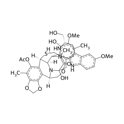 COc1ccc2[nH]c3c(c2c1)C[C@@H](CO)N[C@]31CS[C@@H]2c3c(OC(C)=O)c(C)c4c(c3[C@H](COC1=O)N1[C@@H]2[C@H]2c3c(cc(C)c(OC)c3O)CC1(O)CN2C)OCO4